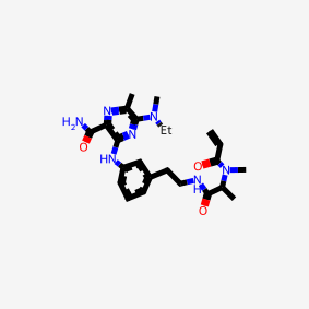 C=CC(=O)N(C)C(C)C(=O)NCCc1cccc(Nc2nc(N(C)CC)c(C)nc2C(N)=O)c1